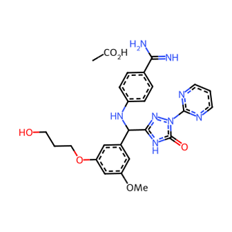 CC(=O)O.COc1cc(OCCCO)cc(C(Nc2ccc(C(=N)N)cc2)c2nn(-c3ncccn3)c(=O)[nH]2)c1